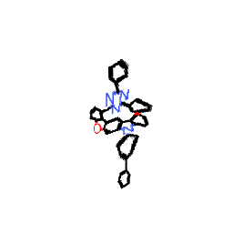 c1ccc(-c2ccc(-n3c4ccccc4c4cc5c(cc43)oc3cccc(-c4nc(-c6ccccc6)nc(-c6ccccc6)n4)c35)cc2)cc1